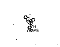 C=CC1(c2ccc(OC)c(OC)c2)COC2(O1)c1ccccc1-n1c2nc2ccccc2c1=O